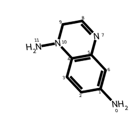 Nc1ccc2c(c1)N=CCN2N